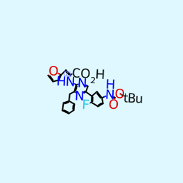 CC(C)(C)OC(=O)Nc1ccc(F)c(-c2cnc(N/C(=C\c3ccco3)C(=O)O)c(Cc3ccccc3)n2)c1